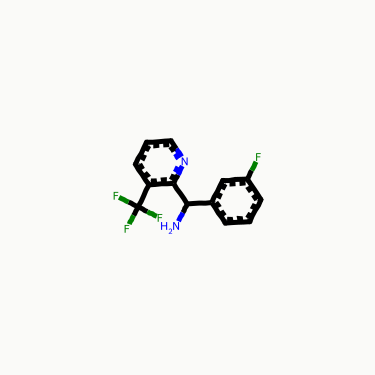 NC(c1cccc(F)c1)c1ncccc1C(F)(F)F